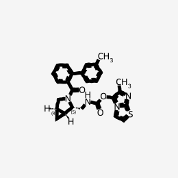 Cc1cccc(-c2ccccc2C(=O)N2C[C@@H]3C[C@@H]3[C@H]2CNC(=O)Oc2c(C)nc3sccn23)c1